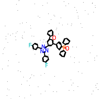 O=P(c1c#cc(-c2cc(-c3nc(-c4ccc(F)cc4)nc(-c4ccc(F)cc4)n3)cc3c2oc2ccccc23)cc1)(c1ccccc1)c1ccccc1